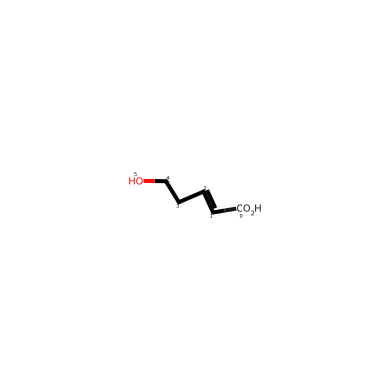 O=C(O)C=CC[CH]O